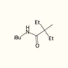 CCC(C)NC(=O)C(C)(CC)CC